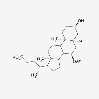 CC(=O)O[C@@H]1C[C@@H]2C[C@H](O)CC[C@]2(C)C2CC[C@@]3(C)C(CC[C@@H]3[C@H](C)CCC(=O)O)C21